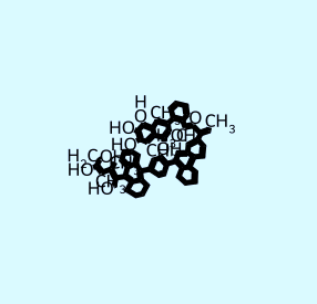 C=C(O)/C(O)=C(C)\C(C)=C(/CO)c1c2c(c(-c3ccc(-c4cc5cc(/C(=C/C)c6oc7cccc(-c8c(O)c(O)c9c(C)c(O)c(O)c(O)c9c8C)c7c6C)ccc5c5c4CCC=C5)cc3)c3ccccc13)CCCC2